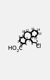 O=C(O)c1ccc2c(c1)/C(=C/CCl)c1ccccc1CC2